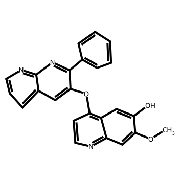 COc1cc2nccc(Oc3cc4cccnc4nc3-c3ccccc3)c2cc1O